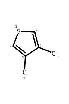 Clc1cscc1Cl